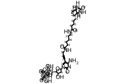 Nc1nc(=O)n([C@H]2C[C@H](O)[C@@H](COP(=O)(O)OP(=O)(O)OP(=O)(O)O)O2)cc1C#CCNC(=O)CCCCCNC(=O)CCCC[C@@H]1SC[C@@H]2NC(=O)N[C@@H]21